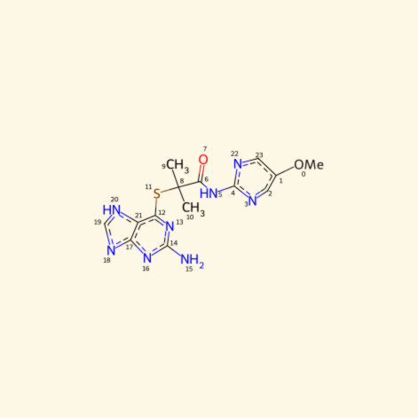 COc1cnc(NC(=O)C(C)(C)Sc2nc(N)nc3nc[nH]c23)nc1